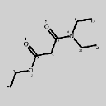 CCOC(=O)CC(=O)N(CC)CC